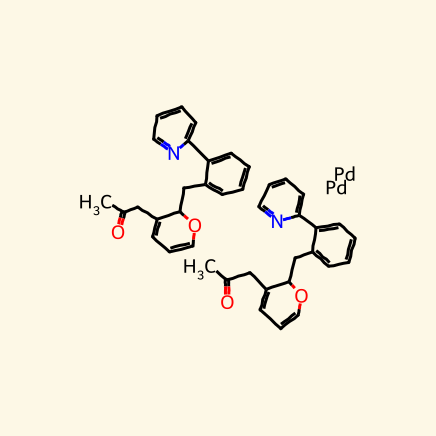 CC(=O)CC1=CC=COC1Cc1ccccc1-c1ccccn1.CC(=O)CC1=CC=COC1Cc1ccccc1-c1ccccn1.[Pd].[Pd]